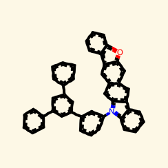 c1ccc(-c2cc(-c3ccccc3)cc(-c3cccc(-n4c5ccccc5c5cc6cc7oc8ccccc8c7cc6cc54)c3)c2)cc1